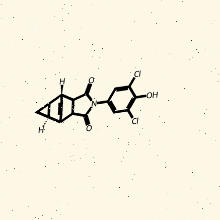 O=C1C2C(C(=O)N1c1cc(Cl)c(O)c(Cl)c1)[C@@H]1C=CC2[C@H]2CC12